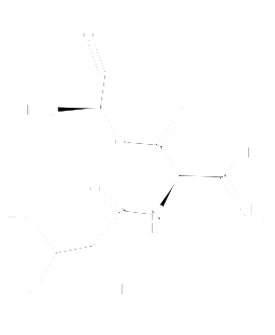 C=C(C)[C@@H](NC(=O)[C@H](I)C(C)C)C(=O)O[C@@H](C)C=O